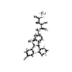 CC(C)C(NC(=O)OC(C)(C)C)C(=O)Nc1ccc2c(-c3ccncc3)c(-c3ccc(F)cc3)[nH]c2n1